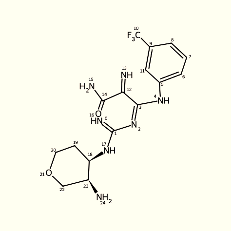 N=C(/N=C(/Nc1cccc(C(F)(F)F)c1)C(=N)C(N)=O)N[C@@H]1CCOC[C@@H]1N